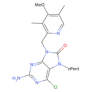 CCCCCn1c(=O)n(Cc2ncc(C)c(OC)c2C)c2nc(N)nc(Cl)c21